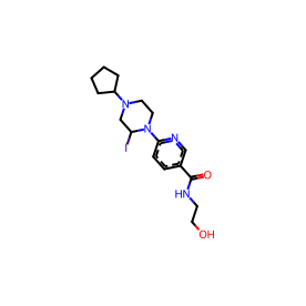 O=C(NCCO)c1ccc(N2CCN(C3CCCC3)CC2I)nc1